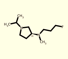 CC(C)N1CC[C@H](N(C)CCCF)C1